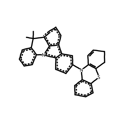 CC1(C)c2ccccc2-n2c3ccc(N4C5=C(CCC=C5)Sc5ccccc54)cc3c3cccc1c32